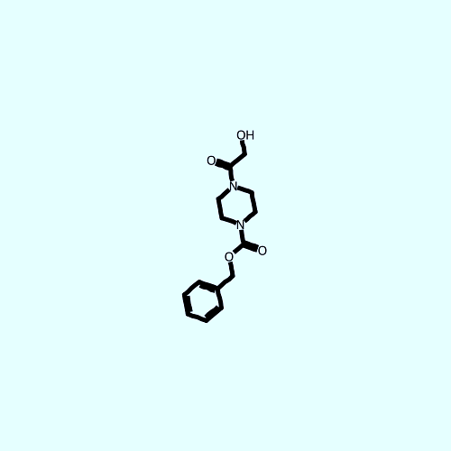 O=C(CO)N1CCN(C(=O)OCc2ccccc2)CC1